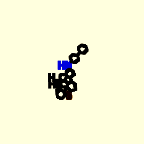 CC1(C)C2=C(C=CC3SC4=C(C=CCC4)C23)C2C=CC(NC3C=CC(C4C=CC=CC4)=CC3)=CC21